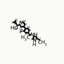 CCC1CC(NC(C)c2ccc(-c3ccnc(C(O)C4CC4)c3)c(F)c2)=CN1